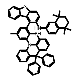 Cc1cc(-c2c(Nc3ccc4c(c3)C(C)(C)CCC4(C)C)ccc3sc4ccccc4c23)c2c(c1)N1c3ccccc3C(c3ccccc3)(c3ccccc3)c3cccc(c31)B2